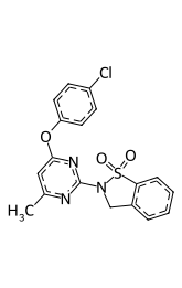 Cc1cc(Oc2ccc(Cl)cc2)nc(N2Cc3ccccc3S2(=O)=O)n1